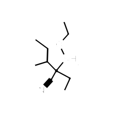 CCO[SiH2]C(C#N)(CC)C(C)CC